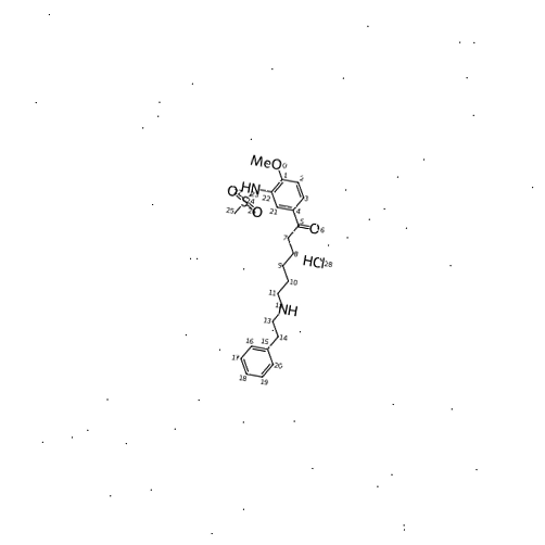 COc1ccc(C(=O)CCCCCNCCc2ccccc2)cc1NS(C)(=O)=O.Cl